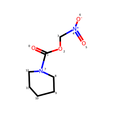 O=C(OC[N+](=O)[O-])N1CCCCC1